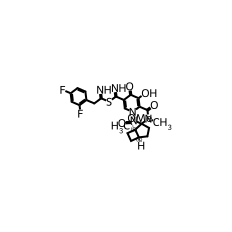 COC(=O)[C@@]12CC[C@@H]1CCC21N(C)C(=O)c2c(O)c(=O)c(C(=N)SC(=N)Cc3ccc(F)cc3F)cn2N1C